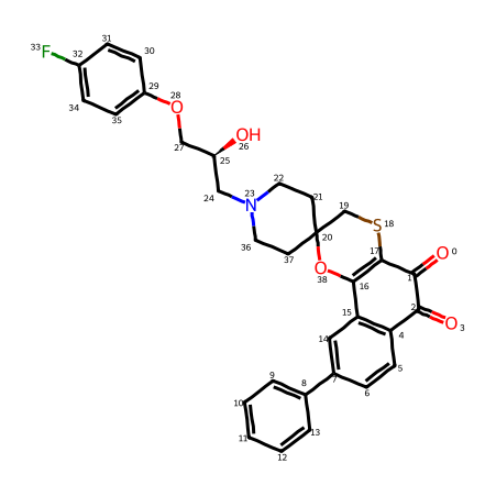 O=C1C(=O)c2ccc(-c3ccccc3)cc2C2=C1SCC1(CCN(C[C@H](O)COc3ccc(F)cc3)CC1)O2